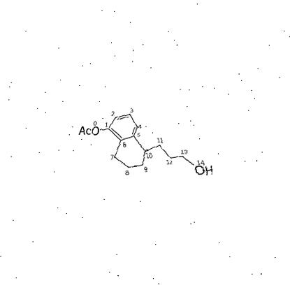 CC(=O)Oc1cccc2c1CCCC2CCCO